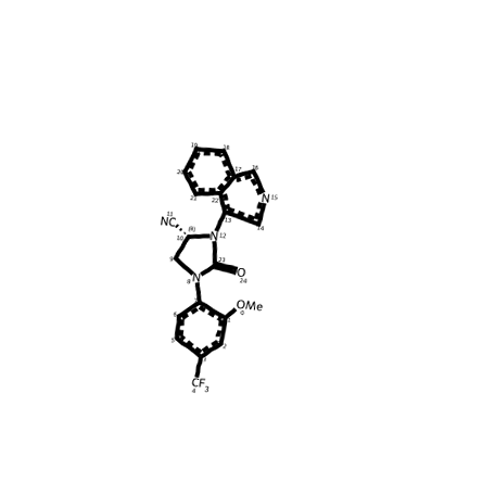 COc1cc(C(F)(F)F)ccc1N1C[C@H](C#N)N(c2cncc3ccccc23)C1=O